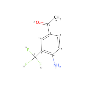 CC(=O)c1ccc(N)c(C(F)(F)F)c1